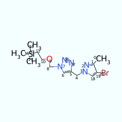 Cc1nn(Cc2cn(COCC[Si](C)(C)C)nn2)cc1Br